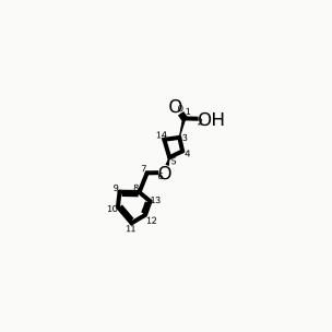 O=C(O)[C@H]1C[C@@H](OCc2ccccc2)C1